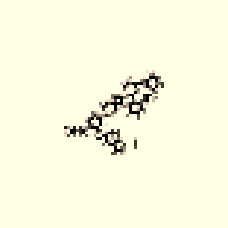 CC(C)c1ccccc1C1CC(Oc2ccccc2)CCN1C1CC2(CCN(c3ccc(C=O)c(Oc4cnc5[nH]ccc5c4)c3)CC2)C1